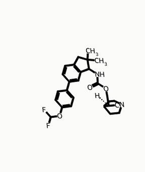 CC1(C)Cc2ccc(-c3ccc(OC(F)F)cc3)cc2C1NC(=O)O[C@H]1CN2CCC1CC2